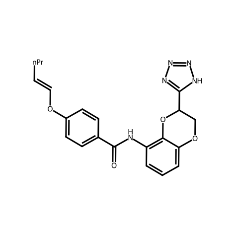 CCC/C=C/Oc1ccc(C(=O)Nc2cccc3c2OC(c2nnn[nH]2)CO3)cc1